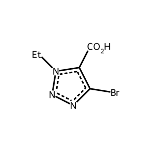 CCn1nnc(Br)c1C(=O)O